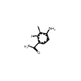 Cc1c(N)ccc(C(N)=O)c1F